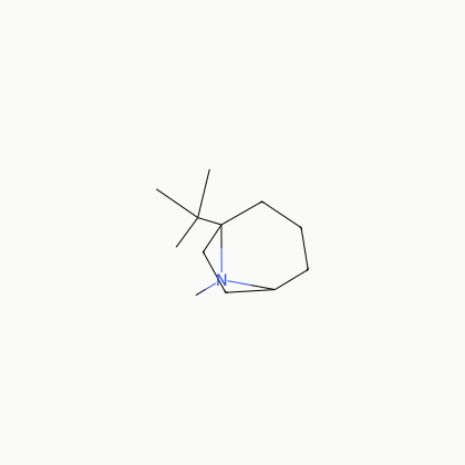 CN1C2CCCC1(C(C)(C)C)CC2